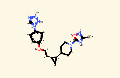 CC(C)c1noc(N2CCC([C@H]3C[C@H]3CCOc3ccc(-n4cnnn4)cc3)CC2)n1